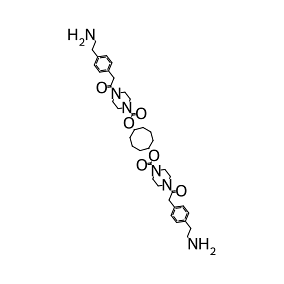 NCCc1ccc(CC(=O)N2CCN(C(=O)O[C@H]3CCC[C@@H](OC(=O)N4CCN(C(=O)Cc5ccc(CCN)cc5)CC4)CCC3)CC2)cc1